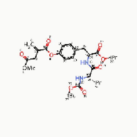 C=C(CC(=O)OC)C(=O)Oc1ccc(C[C@H](NC(=O)[C@@H](NC(=O)OC(C)(C)C)C(C)C)C(=O)OC(C)C)cc1